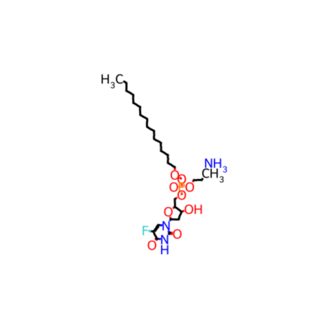 CCCCCCCCCCCCCCCCOOP(=O)(OCCC)OCC1OC(n2cc(F)c(=O)[nH]c2=O)CC1O.N